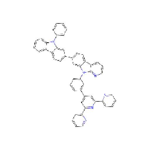 c1ccc(-n2c3ccccc3c3ccc(-c4ccc5c6cccnc6n(-c6cccc(-c7cc(-c8ccccn8)nc(-c8ccccn8)c7)c6)c5c4)cc32)cc1